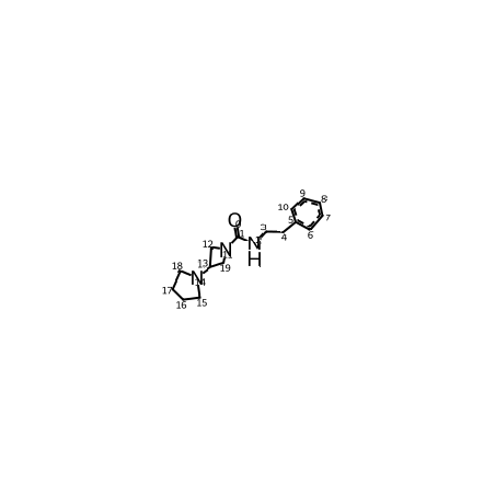 O=C(NCCc1ccccc1)N1CC(N2CCCC2)C1